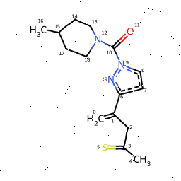 C=C(CC(C)=S)c1ccn(C(=O)N2CCC(C)CC2)n1